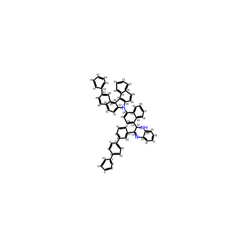 c1ccc(-c2ccc(-c3cccc(C4=Nc5ccccc5NC4c4ccc(-n5c6ccc7ccccc7c6c6c7cc(-c8ccccc8)ccc7ccc65)c5ccccc45)c3)cc2)cc1